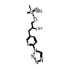 CC(C)(C)[Si](C)(C)OCC(O)Cc1ccc(-n2cnnn2)nc1